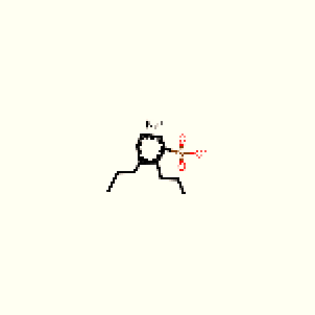 CCCc1cccc(S(=O)(=O)[O-])c1CCC.[Na+]